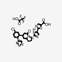 O=C(O)C(F)(F)F.O=C(O)c1cnc(-c2cnc([C@@H]3CCc4cc(-c5cc(Cl)ccc5-n5cnnn5)cc(=O)n43)[nH]2)s1